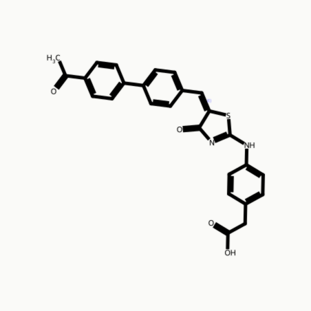 CC(=O)c1ccc(-c2ccc(/C=C3/SC(Nc4ccc(CC(=O)O)cc4)=NC3=O)cc2)cc1